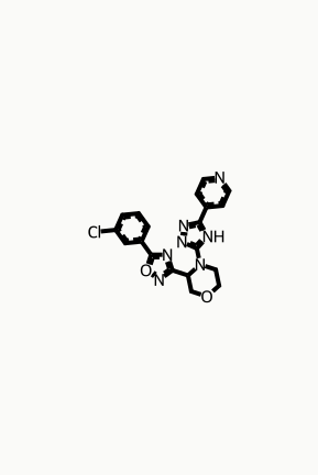 Clc1cccc(-c2nc(C3COCCN3c3nnc(-c4ccncc4)[nH]3)no2)c1